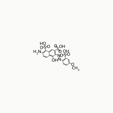 COc1ccc(N=Nc2c(S(=O)(=O)O)cc3c(S(=O)(=O)O)c(N)ccc3c2O)c(S(=O)(=O)O)c1